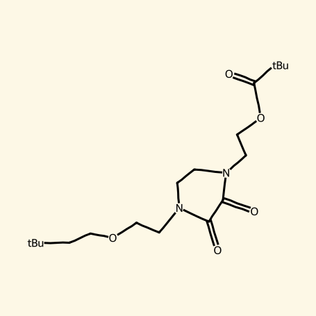 CC(C)(C)CCOCCN1CCN(CCOC(=O)C(C)(C)C)C(=O)C1=O